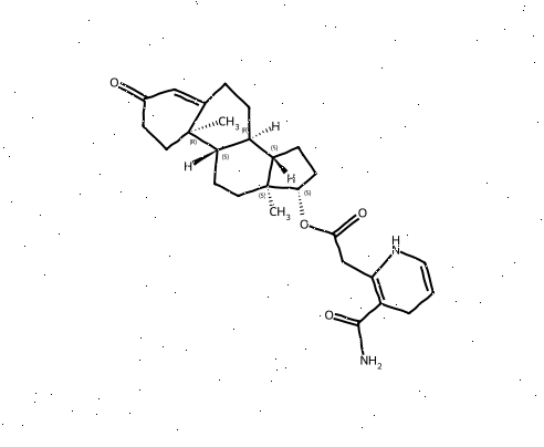 C[C@]12CC[C@H]3[C@@H](CCC4=CC(=O)CC[C@@]43C)[C@@H]1CC[C@@H]2OC(=O)CC1=C(C(N)=O)CC=CN1